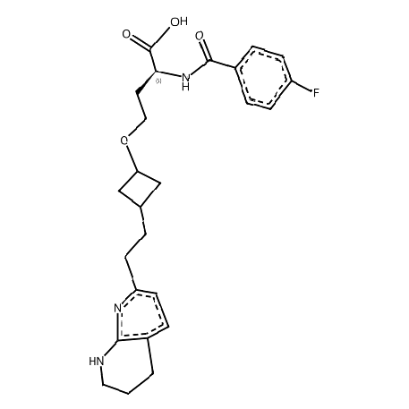 O=C(N[C@@H](CCOC1CC(CCc2ccc3c(n2)NCCC3)C1)C(=O)O)c1ccc(F)cc1